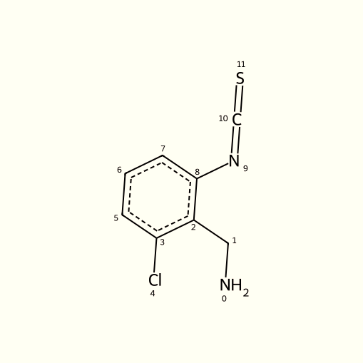 NCc1c(Cl)cccc1N=C=S